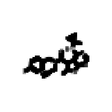 C#CCN(Cc1ccc(I)cc1)C(=O)c1c(C)oc2ncnc(NC3(C)CC3)c12